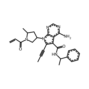 C=CC(=O)N1CC(n2c(C#CC)c(C(=O)NC(C)c3ccccc3)c3c(N)ncnc32)CC1C